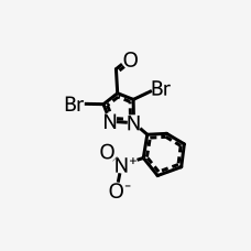 O=Cc1c(Br)nn(-c2ccccc2[N+](=O)[O-])c1Br